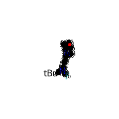 CC(C)(C)c1ccc(N(c2ccc(F)cc2)c2ccc(-c3ccc(-c4ccc5c(c4)c4ccccc4n5-c4ccc5c(c4)C(c4ccccc4)(c4ccccc4)c4ccccc4-5)cc3)cc2)cc1